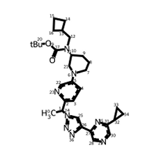 CC(c1ccc(N2CCC[C@@H](N(CC3CCC3)C(=O)OC(C)(C)C)C2)cn1)n1cc(-c2cncc(C3CC3)n2)nn1